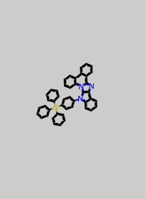 c1ccc(S(c2ccccc2)(c2ccccc2)c2ccc(-n3c4ccccc4c4nc5c6ccccc6c6ccccc6n5c43)cc2)cc1